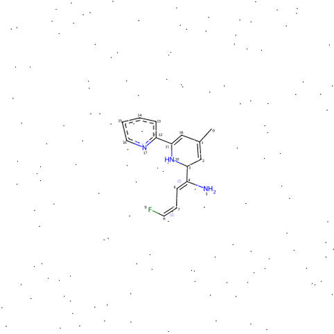 CC1=CC(/C(N)=C/C=C\F)NC(c2ccccn2)=C1